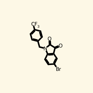 O=C1C(=O)N(Cc2ccc(C(F)(F)F)cc2)c2ccc(Br)cc21